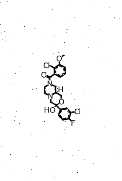 COc1cccc(C(=O)N2CCN3C[C@@](O)(c4ccc(F)c(Cl)c4)OC[C@@H]3C2)c1Cl